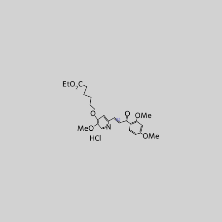 CCOC(=O)CCCCCOc1cc(/C=C/C(=O)c2ccc(OC)cc2OC)ncc1OC.Cl